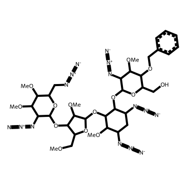 COCC1OC(OC2C(OC)C(N=[N+]=[N-])CC(N=[N+]=[N-])C2OC2OC(CO)C(OCc3ccccc3)C(OC)C2N=[N+]=[N-])C(OC)C1OC1OC(CN=[N+]=[N-])C(OC)C(OC)C1N=[N+]=[N-]